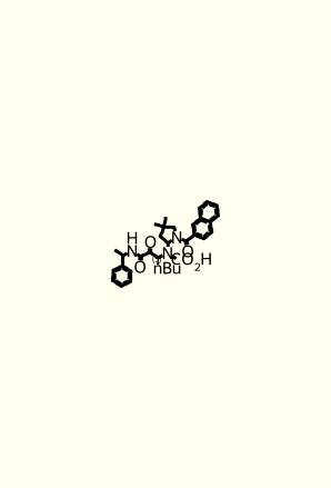 CCCC[C@@H](C(=O)C(=O)NC(C)c1ccccc1)N(C(=O)O)C1CC(C)(C)CN1C(=O)c1ccc2ccccc2c1